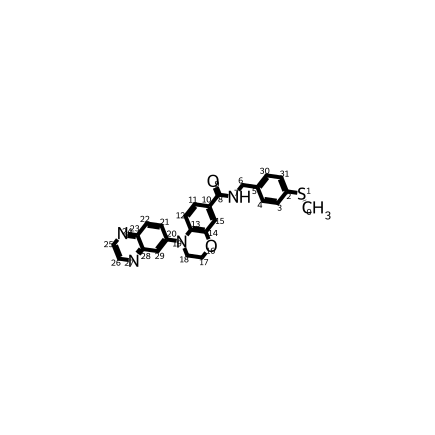 CSc1ccc(CNC(=O)c2ccc3c(c2)OCCN3c2ccc3nccnc3c2)cc1